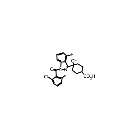 Cc1cccc(Cl)c1C(=O)n1nc(C2(O)CCC(C(=O)O)CC2)c2c(F)cccc21